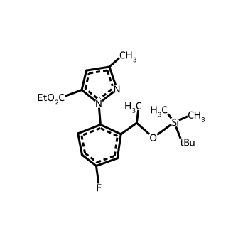 CCOC(=O)c1cc(C)nn1-c1ccc(F)cc1C(C)O[Si](C)(C)C(C)(C)C